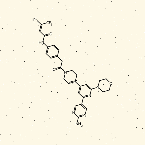 CC(C)/C(=C/C(=O)Nc1ccc(CC(=O)N2CC=C(c3cc(-c4cnc(N)nc4)nc(N4CCOCC4)c3)CC2)cc1)C(F)(F)F